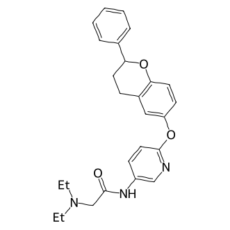 CCN(CC)CC(=O)Nc1ccc(Oc2ccc3c(c2)CCC(c2ccccc2)O3)nc1